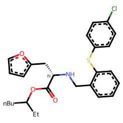 CCCCC(CC)OC(=O)[C@H](Cc1ccco1)NCc1ccccc1Sc1ccc(Cl)cc1